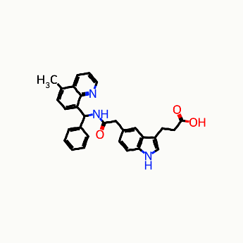 Cc1ccc(C(NC(=O)Cc2ccc3[nH]cc(CCC(=O)O)c3c2)c2ccccc2)c2ncccc12